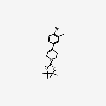 Cc1cc(C2=CCN(B3OC(C)(C)C(C)(C)O3)CC2)ccc1Br